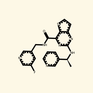 C[C@H](Nc1nc(C(=O)NCc2cncc(F)c2)c2sccc2n1)c1cccnc1